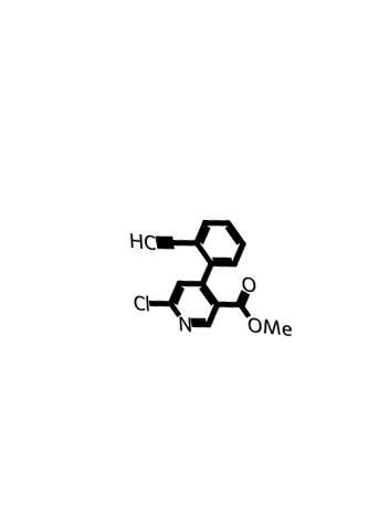 C#Cc1ccccc1-c1cc(Cl)ncc1C(=O)OC